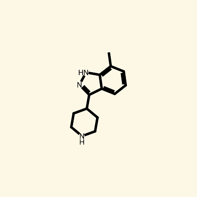 Cc1cccc2c(C3CCNCC3)n[nH]c12